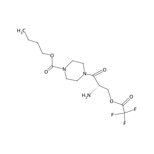 CCCCOC(=O)N1CCN(C(=O)[C@@H](N)COC(=O)C(F)(F)F)CC1